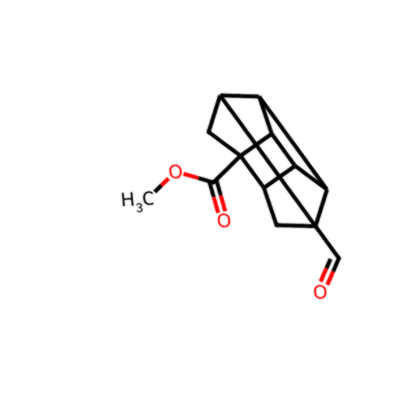 COC(=O)C12CC3C4C5C(C1CC35C=O)C42